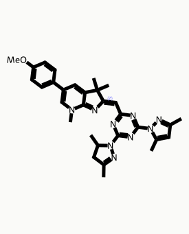 COc1ccc(C2=CN(C)C3=N/C(=C\c4nc(N5N=C(C)CC5C)nc(-n5nc(C)cc5C)n4)C(C)(C)C3=C2)cc1